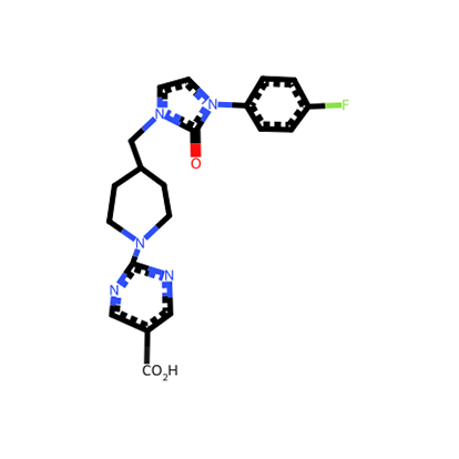 O=C(O)c1cnc(N2CCC(Cn3ccn(-c4ccc(F)cc4)c3=O)CC2)nc1